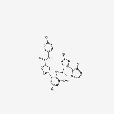 CSc1cc(Br)cc(C2=NOC(C(=O)Nc3ccc(Cl)cc3)C2)c1NC(=O)c1cc(Br)nn1-c1ncccc1Cl